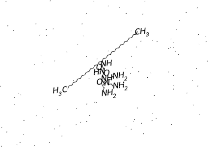 CCCCCCCCCCCCCCCCCC(CCCCCCCCCCCCCCCCC)NC(=O)CNC(=O)CNC(=O)[C@H](CCCN)N(CCCN)CCCN